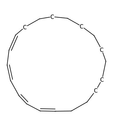 C1=CC=CCCCCCCCCCCCCC=CC=C1